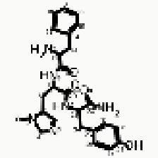 CN1CN=CC1CC(NC(=O)C(N)Cc1ccccc1)C(=O)NC(Cc1ccc(O)cc1)C(N)=O